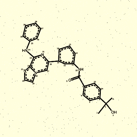 CC(C)(O)c1ccc(C(=O)Nc2cccc(-c3cn4ccnc4c(Nc4ccccc4)n3)c2)cc1